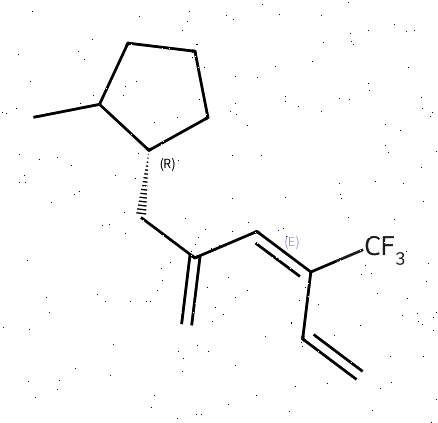 C=C/C(=C\C(=C)C[C@H]1CCCC1C)C(F)(F)F